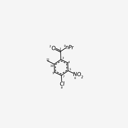 CCCC(=O)c1cc([N+](=O)[O-])c(Cl)cc1C